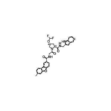 Cc1ccc2c(c1)oc1ccc(C(=O)NCC(=O)N3C[C@H](OC(F)F)C[C@H]3C(=O)NCc3cc4cnccc4[nH]3)cc12